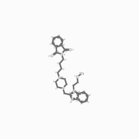 CCOCCn1c(CN2CCN(CCCCN3C(=O)c4ccccc4C3=O)CC2)nc2ccccc21